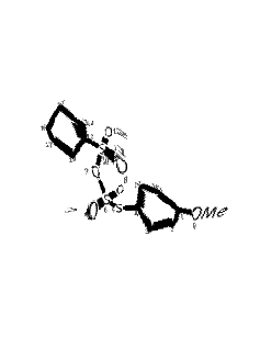 COc1ccc(SS(=O)(=O)OS(=O)(=O)c2ccccc2)cc1